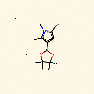 Cc1c(B2OC(C)(C)C(C)(C)O2)cc(C(C)C)n1C